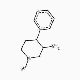 CC(C)N1CCC(c2ccccc2)C(N)C1